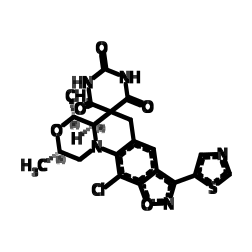 C[C@H]1CN2c3c(cc4c(-c5cncs5)noc4c3Cl)CC3(C(=O)NC(=O)NC3=O)[C@@H]2[C@@H](C)O1